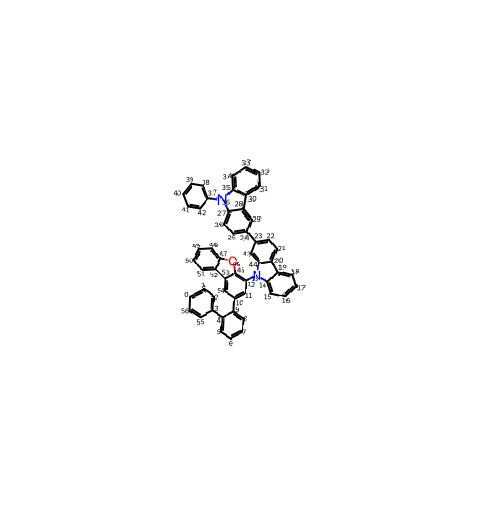 c1ccc(-c2ccccc2-c2cc(-n3c4ccccc4c4ccc(-c5ccc6c(c5)c5ccccc5n6-c5ccccc5)cc43)c3oc4ccccc4c3c2)cc1